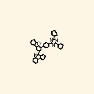 c1ccc(-c2nc(-c3ccccc3)nc(-c3ccc(-c4cc(-c5nc6ccccc6c6ccccc56)cc5c4oc4ccccc45)cc3)n2)cc1